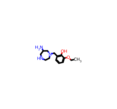 CCOc1cccc(CN2CCNCC(N)C2)c1O